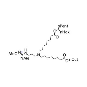 CCCCCCCCOC(=O)CCCCCCCN(CCCCCCCC(=O)OC(CCCCC)CCCCCC)CCCN/C(=N/OC)NC